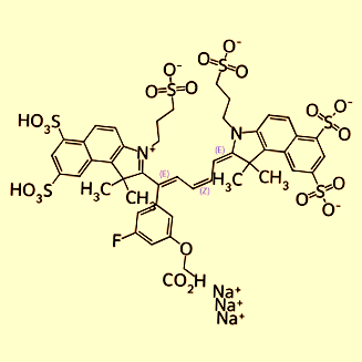 CC1(C)C(/C(=C/C=C\C=C2\N(CCCS(=O)(=O)[O-])c3ccc4c(S(=O)(=O)[O-])cc(S(=O)(=O)[O-])cc4c3C2(C)C)c2cc(F)cc(OCC(=O)O)c2)=[N+](CCCS(=O)(=O)[O-])c2ccc3c(S(=O)(=O)O)cc(S(=O)(=O)O)cc3c21.[Na+].[Na+].[Na+]